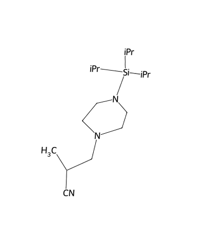 CC(C#N)CN1CCN([Si](C(C)C)(C(C)C)C(C)C)CC1